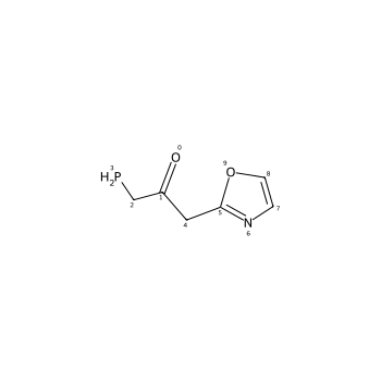 O=C(CP)Cc1ncco1